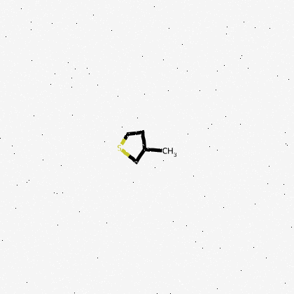 CC1CCSC1